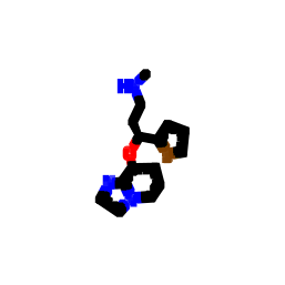 CNCC[C@H](Oc1cccn2ccnc12)c1cccs1